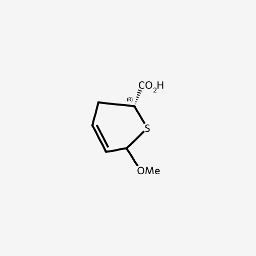 COC1C=CC[C@H](C(=O)O)S1